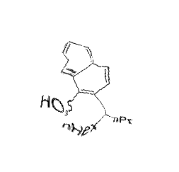 CCCCCCC(CCC)c1ccc2ccccc2c1S(=O)(=O)O